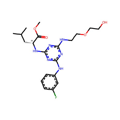 COC(=O)[C@@H](CC(C)C)Nc1nc(NCCOCCO)nc(Nc2cccc(F)c2)n1